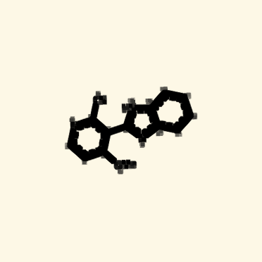 COc1ccnc(C#N)c1-c1nc2ccccc2[nH]1